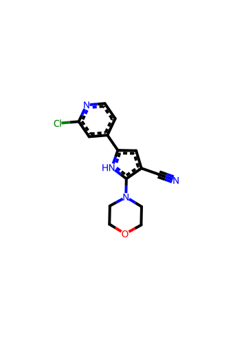 N#Cc1cc(-c2ccnc(Cl)c2)[nH]c1N1CCOCC1